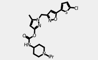 Cc1cc(OC(=O)NC2CCN(C(C)C)CC2)nn1Cc1cc(-c2ccc(Cl)s2)on1